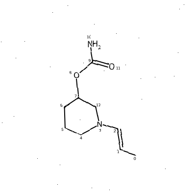 CC=CN1CCCC(OC(N)=O)C1